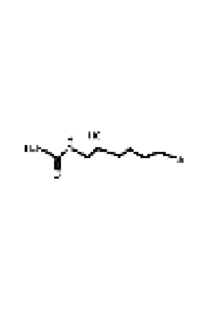 Cl.NC(=O)NCCCCCCBr